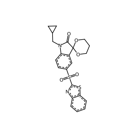 O=C1N(CC2CC2)c2ccc(S(=O)(=O)c3nc4ccccc4s3)cc2C12OCCCO2